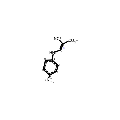 N#C/C(=C\Nc1ccc([N+](=O)[O-])cc1)C(=O)O